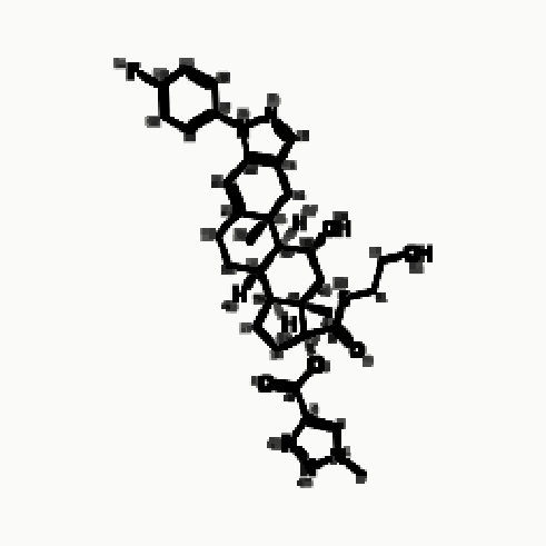 Cn1cc(C(=O)O[C@]2(C(=O)SCCO)CC[C@H]3[C@@H]4CCC5=Cc6c(cnn6-c6ccc(F)cc6)C[C@]5(C)[C@H]4[C@@H](O)C[C@@]32C)nn1